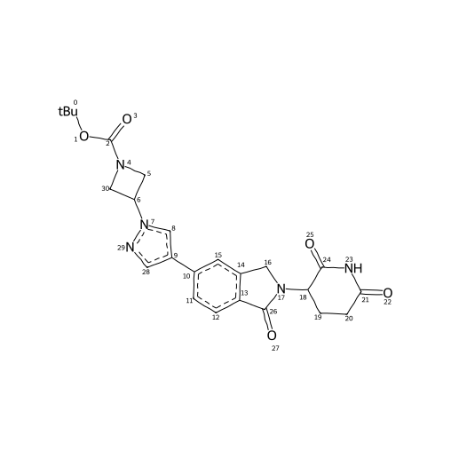 CC(C)(C)OC(=O)N1CC(n2cc(-c3ccc4c(c3)CN(C3CCC(=O)NC3=O)C4=O)cn2)C1